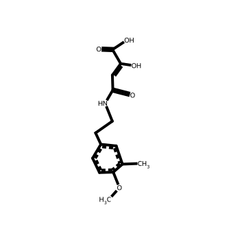 COc1ccc(CCNC(=O)C=C(O)C(=O)O)cc1C